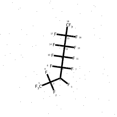 FC(C(F)(F)C(F)(F)F)C(F)(F)C(F)(F)C(F)(F)C(F)(F)C(F)(F)F